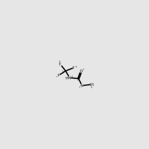 CC[N]C(=O)NC(F)(F)F